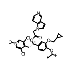 O=C(Cn1ccc2cnccc21)O[C@@H](Cc1c(Cl)c[n+]([O-])cc1Cl)c1ccc(OC(F)F)c(OCC2CC2)c1